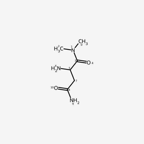 CN(C)C(=O)C(N)CC(N)=O